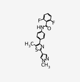 Cc1sc(-c2cnn(C)c2)nc1-c1ccc(NC(=O)c2c(F)cccc2F)cc1